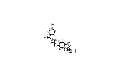 O=C(C1CCNCC1)N1CC(OC2=CC3OB(O)CCC3C=C2)C1